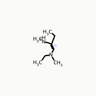 CC/C(=C/N(C)CC)NC